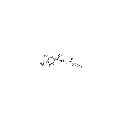 CCOC(=O)CCNC(=O)c1ccc(N)c(Cl)c1